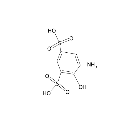 N.O=S(=O)(O)c1ccc(O)c(S(=O)(=O)O)c1